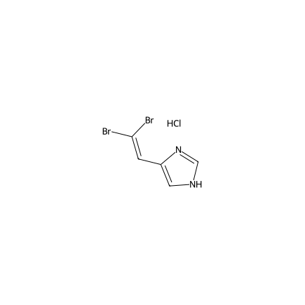 BrC(Br)=Cc1c[nH]cn1.Cl